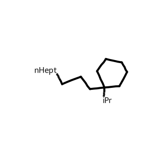 CCCCCCCCCCC1(C(C)C)CCCCC1